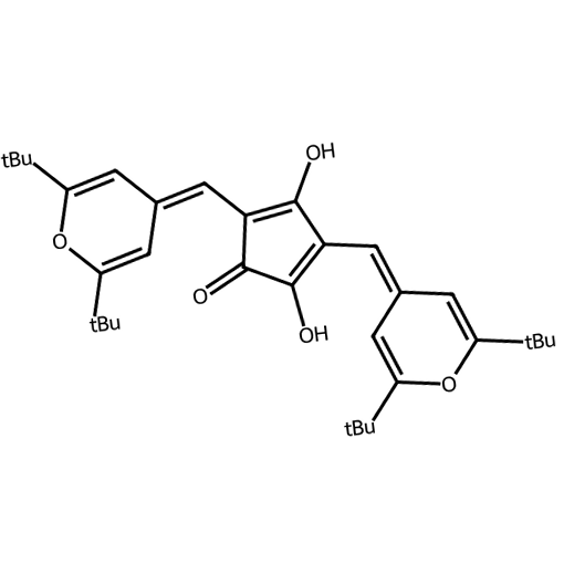 CC(C)(C)C1=CC(=CC2=C(O)C(C=C3C=C(C(C)(C)C)OC(C(C)(C)C)=C3)=C(O)C2=O)C=C(C(C)(C)C)O1